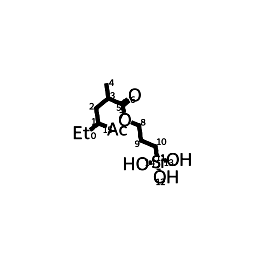 CCC(CC(C)C(=O)OCCC[Si](O)(O)O)C(C)=O